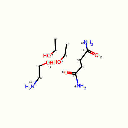 CCO.CCO.NC(=O)CCC(N)=O.NCCO